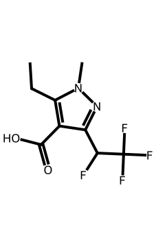 CCc1c(C(=O)O)c(C(F)C(F)(F)F)nn1C